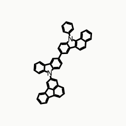 c1ccc(-n2c3ccc(-c4ccc5c(c4)c4ccccc4n5-c4cc5c6c(cccc6c4)-c4ccccc4-5)cc3c3ccc4ccccc4c32)cc1